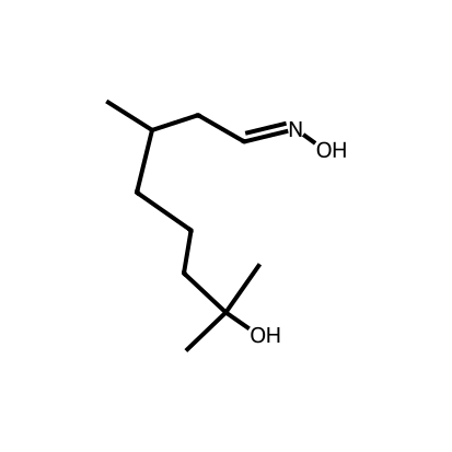 CC(CC=NO)CCCC(C)(C)O